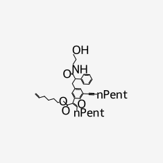 C=CCCCCOC(=O)c1c(CCCCC)oc2c(C#CCCCCC)cc(CC(C(=O)NCCCO)c3ccccc3)cc12